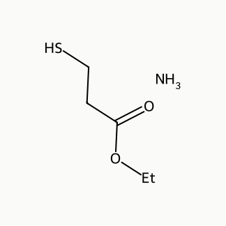 CCOC(=O)CCS.N